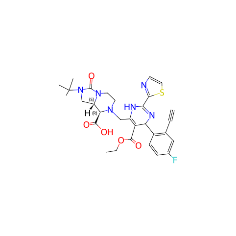 C#Cc1cc(F)ccc1C1N=C(c2nccs2)NC(CN2CCN3C(=O)N(C(C)(C)C)C[C@H]3[C@@H]2C(=O)O)=C1C(=O)OCC